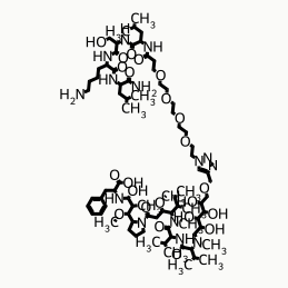 CCC(C)C(C(CC(=O)N1CCCC1C(OC)C(C)C(O)NC(Cc1ccccc1)C(=O)O)OC)N(C)C(=O)C(NC(=O)C(C(C)C)N(C)CC(O)C(O)C(O)C(O)COCc1cn(CCOCCOCCOCCOCCC(=O)NC(CC(C)C)C(=O)NC(CO)C(=O)NC(CCCCN)C(=O)NC(CC(C)C)C(N)=O)nn1)C(C)C